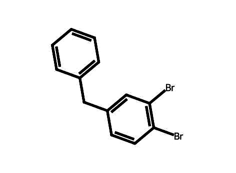 Brc1ccc(Cc2ccccc2)cc1Br